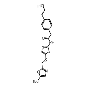 CC(C)(C)c1cnc(CSc2cnc(NC(=O)Cc3ccc(CCO)cc3)s2)o1